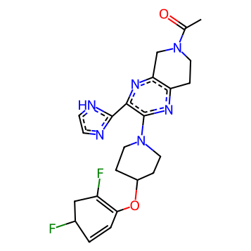 CC(=O)N1CCc2nc(N3CCC(OC4=C(F)CC(F)C=C4)CC3)c(-c3ncc[nH]3)nc2C1